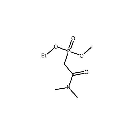 CCOP(=O)(CC(=O)N(C)C)OI